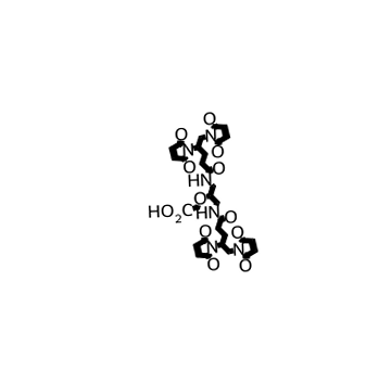 O=C(O)COC(CNC(=O)CCC(CN1C(=O)C=CC1=O)N1C(=O)C=CC1=O)CNC(=O)CCC(CN1C(=O)C=CC1=O)N1C(=O)C=CC1=O